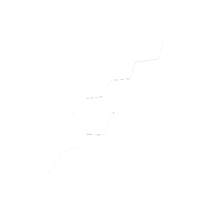 C=CCC1CCC(CCCCCl)CC1